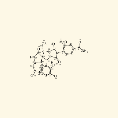 CC[C@@H]1N(c2ccc(C(N)=O)cc2OC)C(=O)[C@H]2[C@H](c3cccc(Cl)c3F)[C@]3(C(=O)Nc4cc(Cl)ncc43)[C@H](CC(C)(C)C)N12